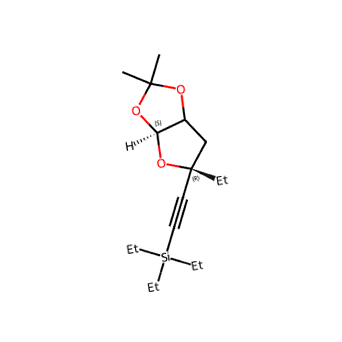 CC[C@]1(C#C[Si](CC)(CC)CC)CC2OC(C)(C)O[C@@H]2O1